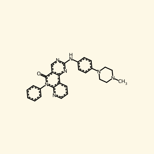 CN1CCN(c2ccc(Nc3ncc4c(=O)n(-c5ccccc5)c5ncccc5c4n3)cc2)CC1